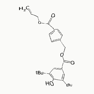 C=CCOC(=O)c1ccc(COC(=O)c2cc(C(C)(C)C)c(O)c(C(C)(C)C)c2)cc1